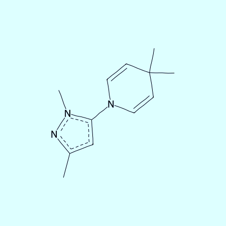 Cc1cc(N2C=CC(C)(C)C=C2)n(C)n1